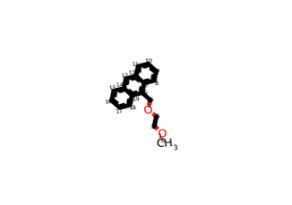 COCCOCc1c2ccccc2cc2ccccc12